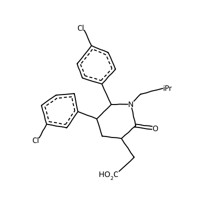 CC(C)CN1C(=O)C(CC(=O)O)CC(c2cccc(Cl)c2)C1c1ccc(Cl)cc1